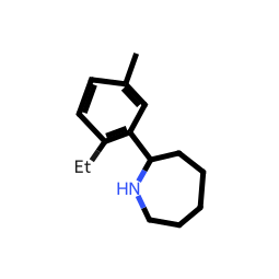 CCc1ccc(C)cc1C1CCCCCN1